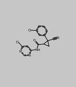 N#CC1(c2cccc(Cl)c2)CC1C(=O)Nc1cc(Cl)ncn1